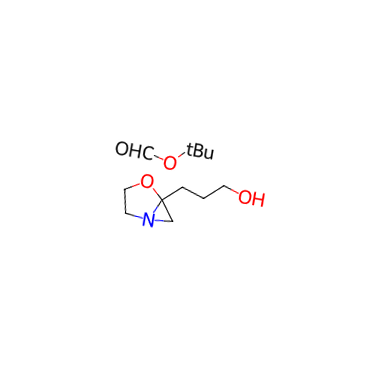 CC(C)(C)OC=O.OCCCC12CN1CCO2